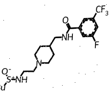 CC(C)(C)[S+]([O-])NCCN1CCC(CNC(=O)c2cc(F)cc(C(F)(F)F)c2)CC1